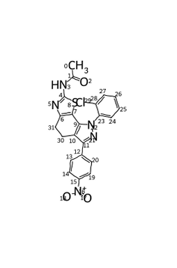 CC(=O)Nc1nc2c(s1)-c1c(c(-c3ccc([N+](=O)[O-])cc3)nn1-c1ccccc1Cl)CC2